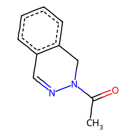 CC(=O)N1Cc2ccccc2C=N1